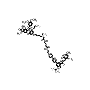 CCCOc1cc(OCCCCN(C)CC(=O)NCCCC(=O)NCCN2CCN(c3ccc(-c4cc(C(=O)NCc5c(C)cc(C)[nH]c5=O)c5cnn(C(C)C)c5c4)cn3)CC2)cc(Oc2cc3c(cc2NS(=O)(=O)c2ccc(OC)c(OC)c2)n(C)c(=O)n3C)c1